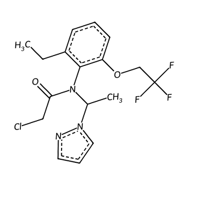 CCc1cccc(OCC(F)(F)F)c1N(C(=O)CCl)C(C)n1cccn1